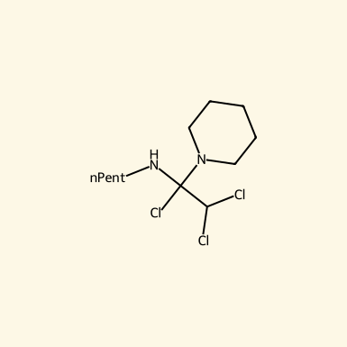 CCCCCNC(Cl)(C(Cl)Cl)N1CCCCC1